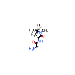 CN(C(=O)CNC(=O)CN)C(C)(C)C